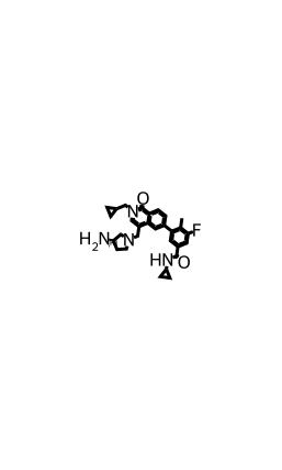 Cc1c(F)cc(C(=O)NC2CC2)cc1-c1ccc2c(=O)n(CC3CC3)cc(CN3CC[C@@H](N)C3)c2c1